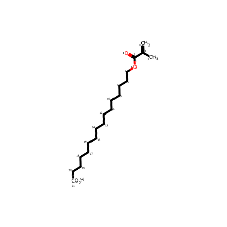 C=C(C)C(=O)OCCCCCCCCCCCCCCCC(=O)O